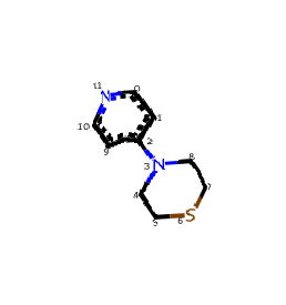 c1cc(N2CCSCC2)ccn1